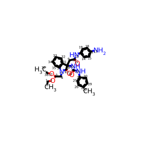 CCOC(CN1C(=O)C(CC(=O)Nc2ccc(N)cc2)(NC(=O)Nc2ccc(C)cc2)c2ccccc21)OCC